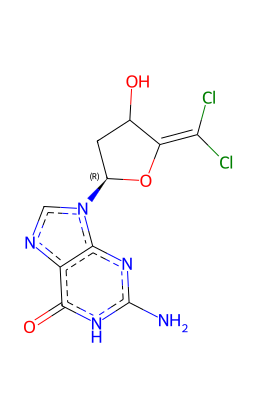 Nc1nc2c(ncn2[C@H]2CC(O)C(=C(Cl)Cl)O2)c(=O)[nH]1